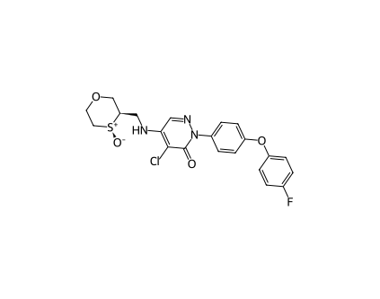 O=c1c(Cl)c(NC[C@@H]2COCC[S@+]2[O-])cnn1-c1ccc(Oc2ccc(F)cc2)cc1